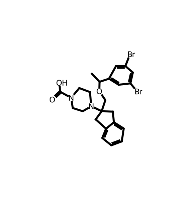 CC(OCC1(N2CCN(C(=O)O)CC2)Cc2ccccc2C1)c1cc(Br)cc(Br)c1